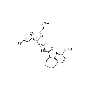 CC/C=C/C(C#N)=C(\C=C(/C)NC(=O)N1CCCCc2ccc(C=O)nc21)OCCOC